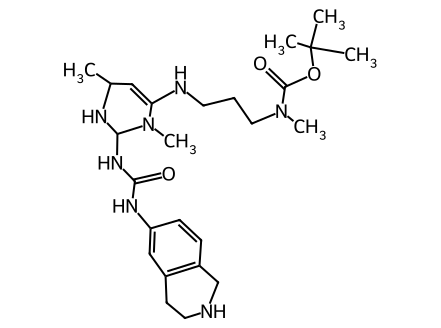 CC1C=C(NCCCN(C)C(=O)OC(C)(C)C)N(C)C(NC(=O)Nc2ccc3c(c2)CCNC3)N1